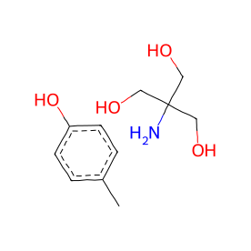 Cc1ccc(O)cc1.NC(CO)(CO)CO